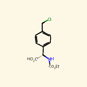 CCOC(=O)N[C@H](C(=O)O)c1ccc(CCl)cc1